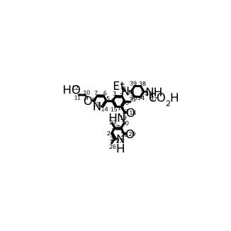 CCN(c1cc(-c2ccc(OCCO)nc2)cc(C(=O)NCc2c(C)cc(C)[nH]c2=O)c1C)[C@H]1CC[C@H](NC(=O)O)CC1